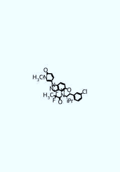 CC(C)[C@H](NC(=O)C(C)(F)F)[C@H](Oc1ccc2c(cnn2-c2ccc(=O)n(C)c2)c1)c1cccc(Cl)c1